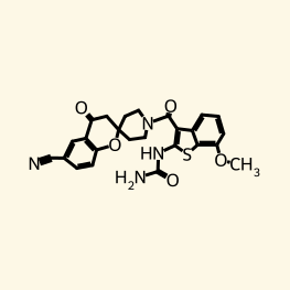 COc1cccc2c(C(=O)N3CCC4(CC3)CC(=O)c3cc(C#N)ccc3O4)c(NC(N)=O)sc12